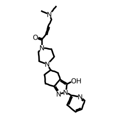 CN(C)CC=CC(=O)N1CCN(C2CCc3nn(-c4ccccn4)c(O)c3C2)CC1